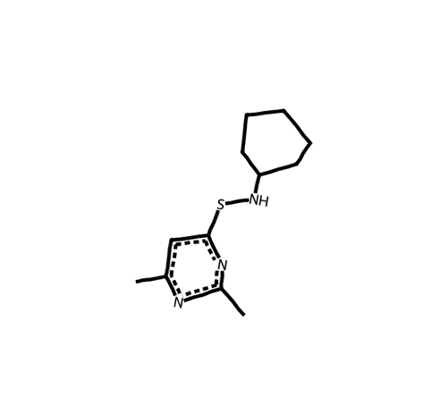 Cc1cc(SNC2CCCCC2)nc(C)n1